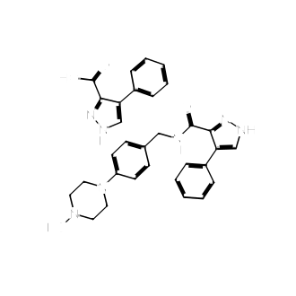 CN1CCN(c2ccc(CNC(=O)c3n[nH]cc3-c3ccccc3)cc2)CC1.O=C(O)c1n[nH]cc1-c1ccccc1